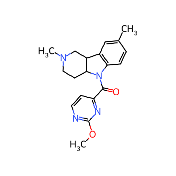 COc1nccc(C(=O)N2c3ccc(C)cc3C3CN(C)CCC32)n1